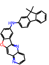 CC1(C)c2ccccc2-c2ccc(Nc3ccc4oc5cc6ncccc6nc5c4c3)cc21